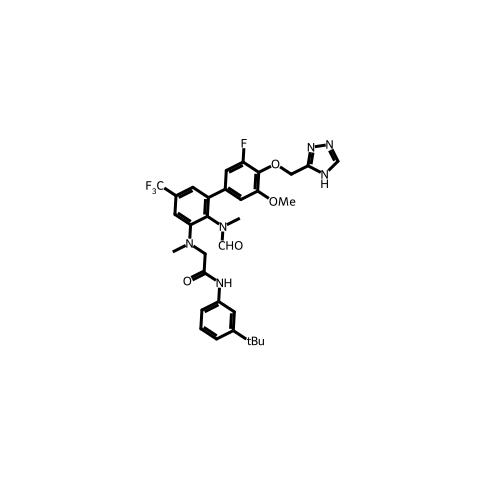 COc1cc(-c2cc(C(F)(F)F)cc(N(C)CC(=O)Nc3cccc(C(C)(C)C)c3)c2N(C)C=O)cc(F)c1OCc1nnc[nH]1